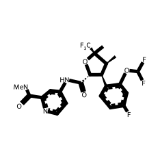 CNC(=O)c1cc(NC(=O)[C@@H]2O[C@@](C)(C(F)(F)F)[C@@H](C)[C@H]2c2ccc(F)cc2OC(F)F)ccn1